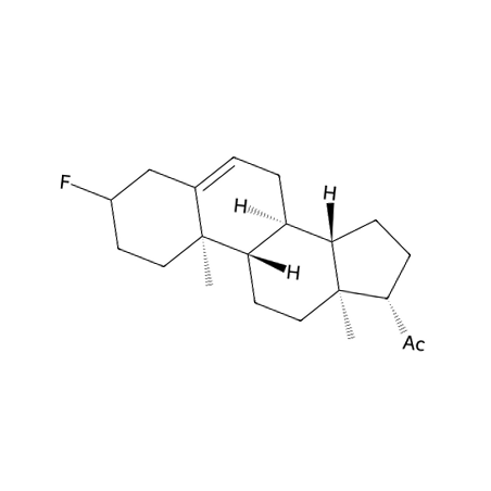 CC(=O)[C@H]1CC[C@H]2[C@@H]3CC=C4CC(F)CC[C@]4(C)[C@H]3CC[C@]12C